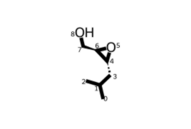 CC(C)C[C@H]1O[C@@H]1CO